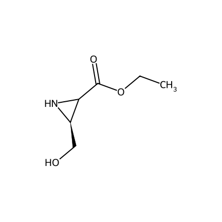 CCOC(=O)C1N[C@@H]1CO